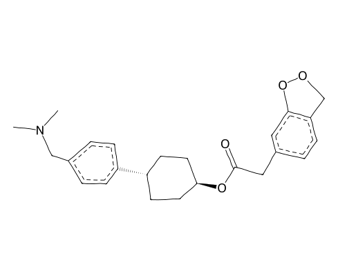 CN(C)Cc1ccc([C@H]2CC[C@H](OC(=O)Cc3ccc4c(c3)OOC4)CC2)cc1